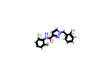 O=C(Nc1c(F)cccc1F)c1ccn(Cc2ccccc2I)n1